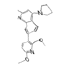 COc1ccc(-c2ccc3c(N4CCCC4)cc(C)nc3c2)c(OC)n1